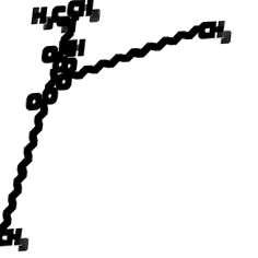 CCCCCCCCC=CCCCCCCCC(=O)OCC(COC(=O)NCCN(CC)CC)OC(=O)CCCCCCCC=CCCCCCCCC